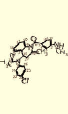 CNc1ccc(C(=O)N2c3ccccc3C(N(C(C)=O)c3ccc(Cl)cc3)CC2C)cc1